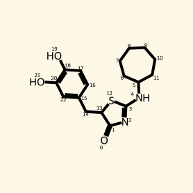 O=C1N=C(NC2CCCCCC2)SC1Cc1ccc(O)c(O)c1